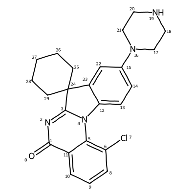 O=c1nc2n(c3c(Cl)cccc13)-c1ccc(N3CCNCC3)cc1C21CCCCC1